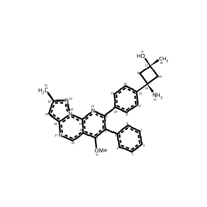 COc1c(-c2ccccc2)c(-c2ccc([C@]3(N)C[C@](C)(O)C3)cc2)nc2c1cnc1cc(C)nn12